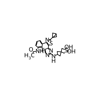 CC(=O)Nc1cccc(-c2nc(C34CC(C3)C4)sc2-c2ccnc(NC3CC4(C3)CS(O)(O)C4)n2)c1F